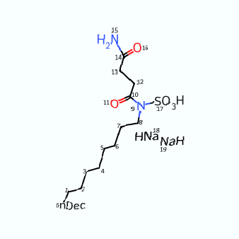 CCCCCCCCCCCCCCCCCCN(C(=O)CCC(N)=O)S(=O)(=O)O.[NaH].[NaH]